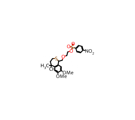 COc1cc2c(cc1OC)C(C)(C)CCSC2COCCOS(=O)(=O)c1ccc([N+](=O)[O-])cc1